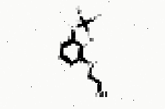 OCCOc1cccc(OC(F)(F)F)c1